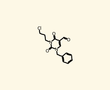 O=Cc1cn(Cc2ccccc2)c(=O)n(CCCCl)c1=O